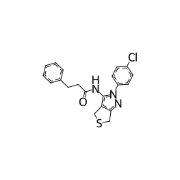 O=C(CCc1ccccc1)Nc1c2c(nn1-c1ccc(Cl)cc1)CSC2